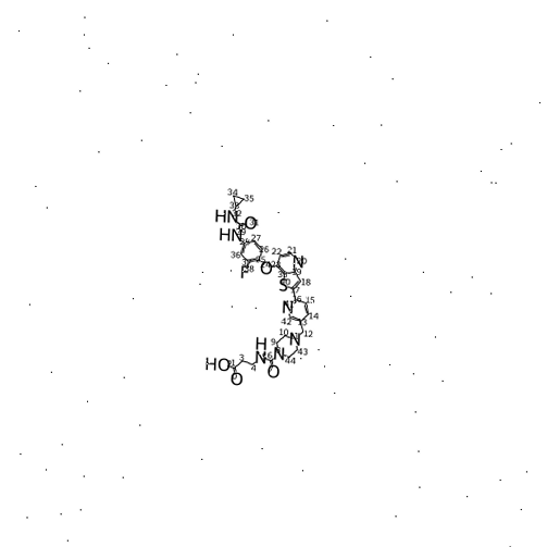 O=C(O)CCNC(=O)N1CCN(Cc2ccc(-c3cc4nccc(Oc5ccc(NC(=O)NC6CC6)cc5F)c4s3)nc2)CC1